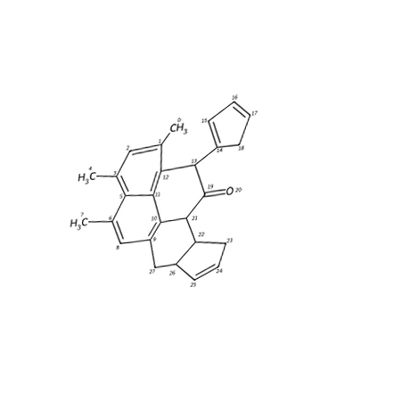 Cc1cc(C)c2c(C)cc3c4c2c1C(C1=CC=CC1)C(=O)C4C1CC=CC1C3